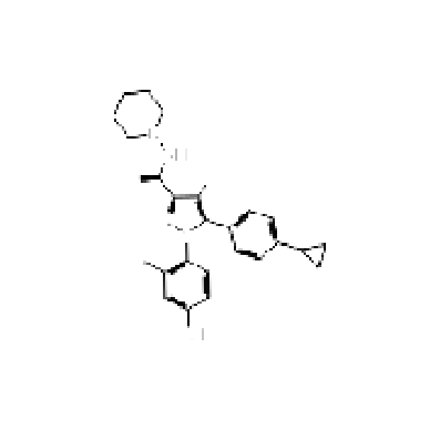 Bc1ccc(-n2nc(C(=O)NN3CCCCC3)c(C)c2-c2ccc(C3CC3)cc2)c(Cl)c1